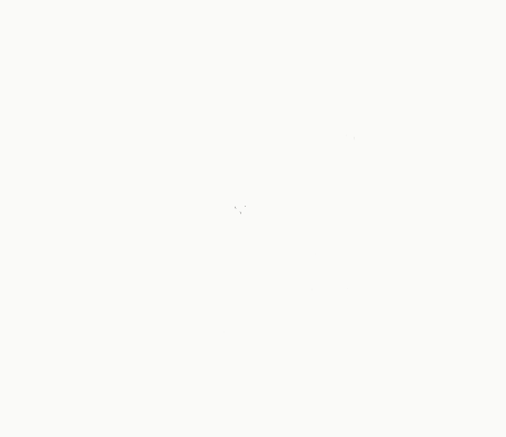 C[n+]1ccc(C=O)c2ccccc21.Cc1ccc(S(=O)(=O)[O-])cc1